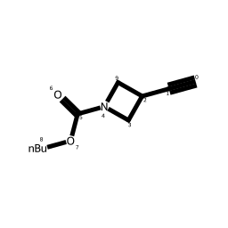 C#CC1CN(C(=O)OCCCC)C1